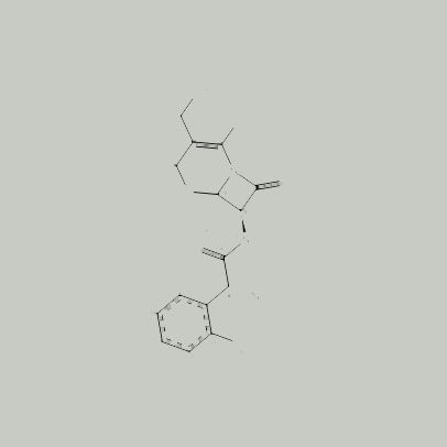 CC(=O)OCC1=C(C(=O)O)N2C(=O)[C@@H](NC(=O)[C@H](N)c3ccccc3O)[C@H]2SC1